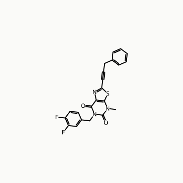 Cn1c(=O)n(Cc2ccc(F)c(F)c2)c(=O)c2nc(C#CCc3ccccc3)sc21